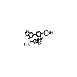 COc1cc(-c2cc(O[C@H](C)C3CNC(=O)C3)c3scnc3c2)ccc1N1CCNCC1